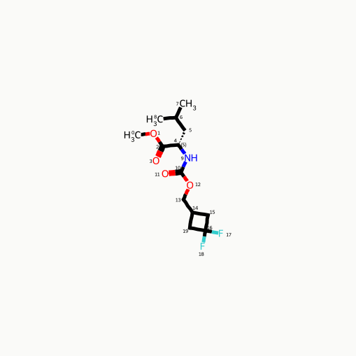 COC(=O)[C@H](CC(C)C)NC(=O)OCC1CC(F)(F)C1